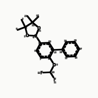 CC1(C)OB(c2ccc(OC(F)F)c(-c3ccccc3)c2)OC1(C)C